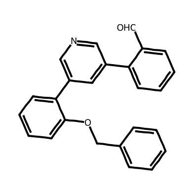 O=Cc1ccccc1-c1cncc(-c2ccccc2OCc2ccccc2)c1